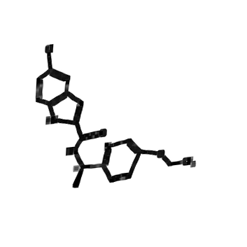 C[C@@H](NC(=O)c1cc2cc(Cl)ccc2[nH]1)c1ccc(OCC(F)(F)F)cn1